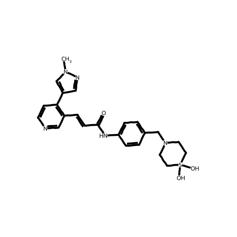 Cn1cc(-c2ccncc2/C=C/C(=O)Nc2ccc(CN3CCS(O)(O)CC3)cc2)cn1